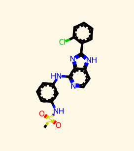 CS(=O)(=O)Nc1cccc(Nc2nccc3[nH]c(-c4ccccc4Cl)nc23)c1